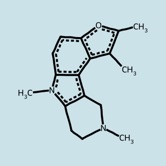 Cc1oc2ccc3c(c4c(n3C)CCN(C)C4)c2c1C